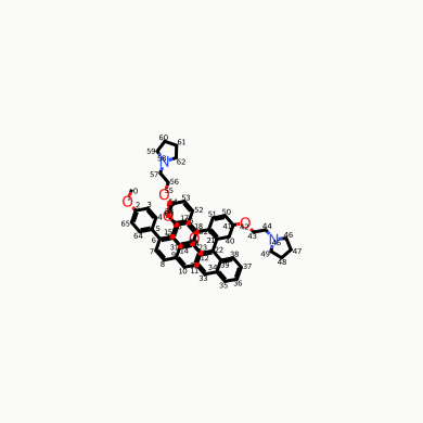 COc1ccc(-c2ccc3ccccc3c2C2=C(C(=O)C3=C(c4c(-c5ccc(OC)cc5)ccc5ccccc45)CC(OCCN4CCCC4)C=C3)C=CC(OCCN3CCCC3)C2)cc1